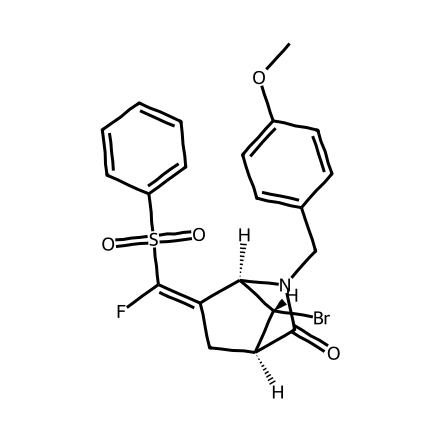 COc1ccc(CN2C(=O)[C@H]3C/C(=C(\F)S(=O)(=O)c4ccccc4)[C@@H]2[C@@H]3Br)cc1